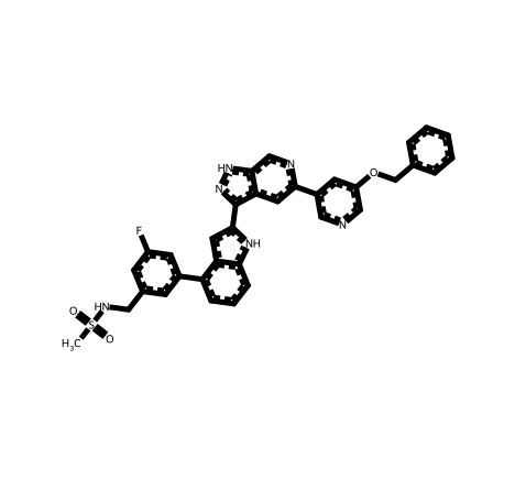 CS(=O)(=O)NCc1cc(F)cc(-c2cccc3[nH]c(-c4n[nH]c5cnc(-c6cncc(OCc7ccccc7)c6)cc45)cc23)c1